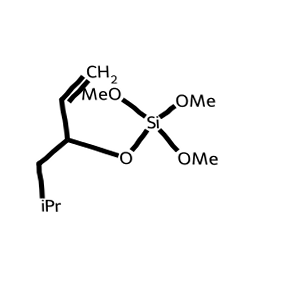 C=CC(CC(C)C)O[Si](OC)(OC)OC